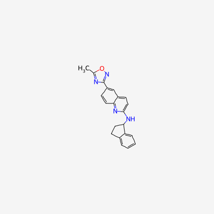 Cc1nc(-c2ccc3nc(NC4CCc5ccccc54)ccc3c2)no1